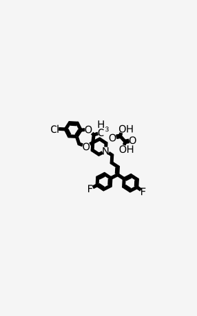 CC1Oc2ccc(Cl)cc2COC12CCN(CCC=C(c1ccc(F)cc1)c1ccc(F)cc1)CC2.O=C(O)C(=O)O